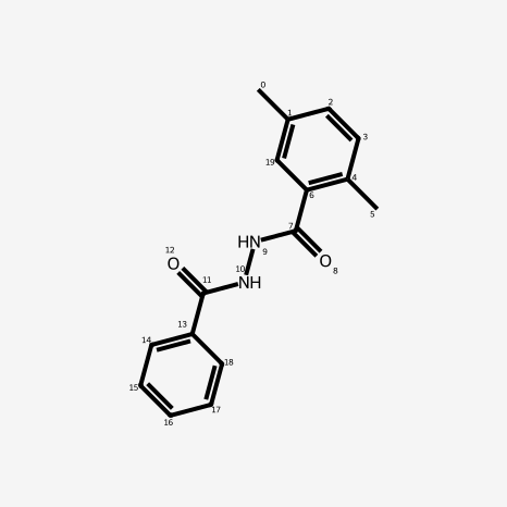 Cc1ccc(C)c(C(=O)NNC(=O)c2ccccc2)c1